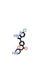 O=C1CC2(CCNCC2)Oc2cc(-c3c[nH]c4nc(Cl)ccc34)ccc21